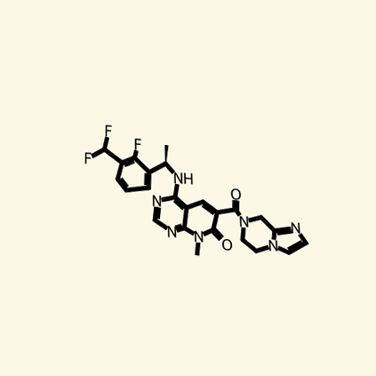 C[C@@H](Nc1ncnc2c1cc(C(=O)N1CCn3ccnc3C1)c(=O)n2C)c1cccc(C(F)F)c1F